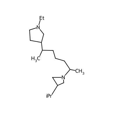 CCN1CCC(C(C)CCCC(C)N2CC(C(C)C)C2)C1